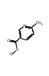 Cc1ccc(C(=O)OCl)cn1